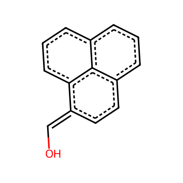 OC=c1ccc2cccc3cccc1c32